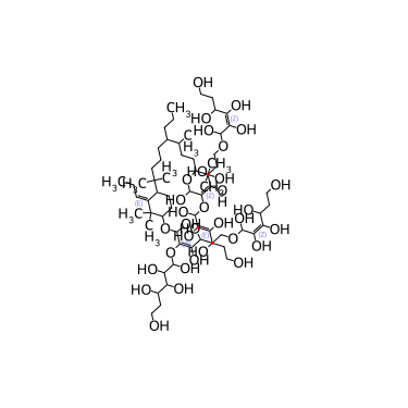 CC/C=C1\C(C(C)(C)CCCC(CCC)C(C)CCC(OC(O)/C(OC(O)/C(O)=C(\O)C(O)CCO)=C(/O)C(O)CCOC(O)/C(O)=C(/O)C(O)CCO)C(C)(C)O)CCC(OC(O)/C(OC(O)C(O)C(O)C(O)CCO)=C(/O)C(O)CCOC(O)/C(O)=C(/O)C(O)CCO)C1(C)C